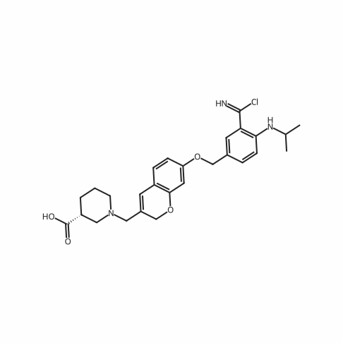 CC(C)Nc1ccc(COc2ccc3c(c2)OCC(CN2CCC[C@@H](C(=O)O)C2)=C3)cc1C(=N)Cl